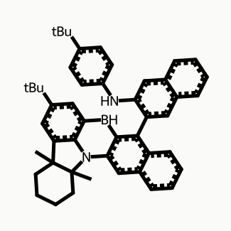 CC(C)(C)c1ccc(Nc2cc3ccccc3cc2-c2c3c(cc4ccccc24)N2c4c(cc(C(C)(C)C)cc4C4(C)CCCCC24C)B3)cc1